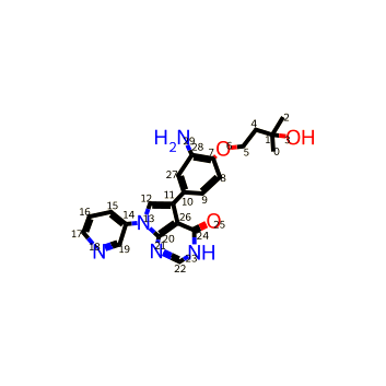 CC(C)(O)CCOc1ccc(-c2cn(-c3cccnc3)c3nc[nH]c(=O)c23)cc1N